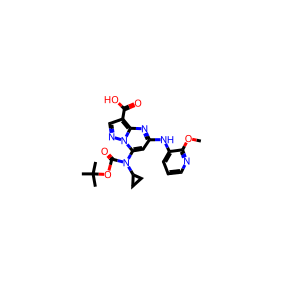 COc1ncccc1Nc1cc(N(C(=O)OC(C)(C)C)C2CC2)n2ncc(C(=O)O)c2n1